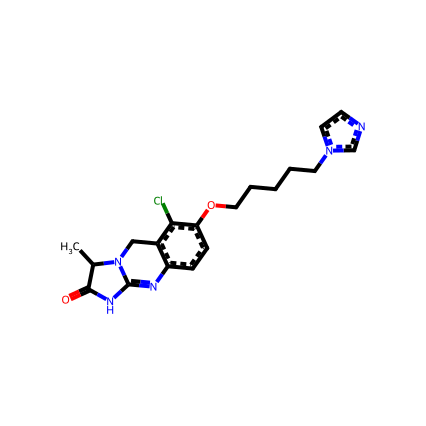 CC1C(=O)NC2=Nc3ccc(OCCCCCn4ccnc4)c(Cl)c3CN21